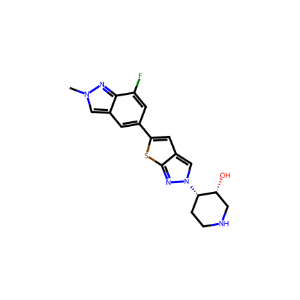 Cn1cc2cc(-c3cc4cn([C@H]5CCNC[C@H]5O)nc4s3)cc(F)c2n1